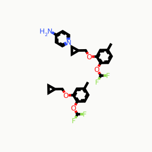 Cc1ccc(OC(F)F)c(OCC2CC2)c1.Cc1ccc(OC(F)F)c(OCC2CC2)c1.Nc1ccncc1